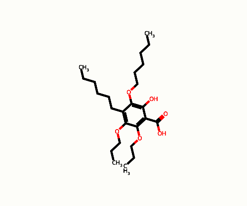 CCCCCCOc1c(O)c(C(=O)O)c(OCCC)c(OCCC)c1CCCCCC